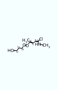 CN/C(Cl)=C\C=C(/C)OOCCCO